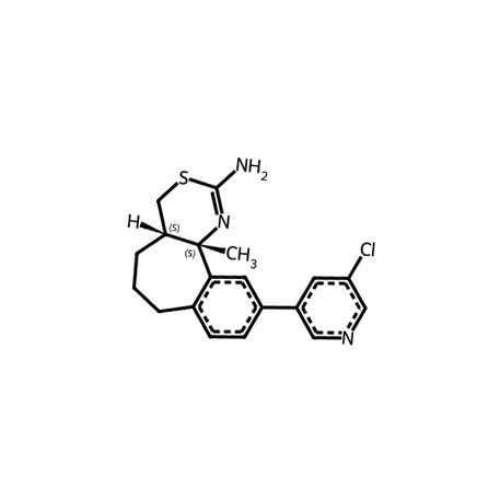 C[C@]12N=C(N)SC[C@H]1CCCc1ccc(-c3cncc(Cl)c3)cc12